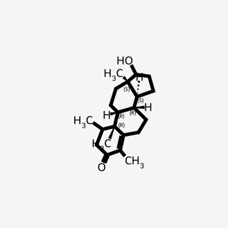 CC1=C2CC[C@@H]3[C@@H](CC[C@]4(C)C(O)CC[C@@H]34)[C@@]2(C)C(C)CC1=O